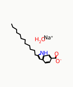 CCCCCCCCCCCCc1cc2ccc(C(=O)[O-])cc2[nH]1.O.[Na+]